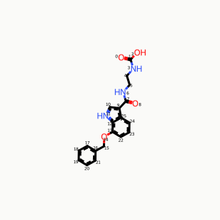 O=C(O)NCCNC(=O)c1c[nH]c2c(OCc3ccccc3)cccc12